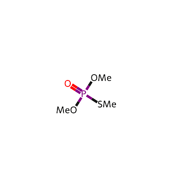 COP(=O)(OC)SC